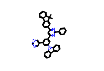 CC1(C)c2ccccc2-c2ccc(-c3cc(-c4cc(-c5cncnc5)cc(-n5c6ccccc6c6ccccc65)c4)nc(-c4ccccc4)n3)cc21